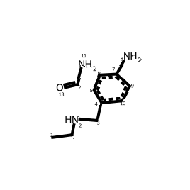 CCNCc1ccc(N)cc1.NC=O